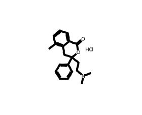 Cc1cccc2c1CC(CCN(C)C)(c1ccccc1)OC2=O.Cl